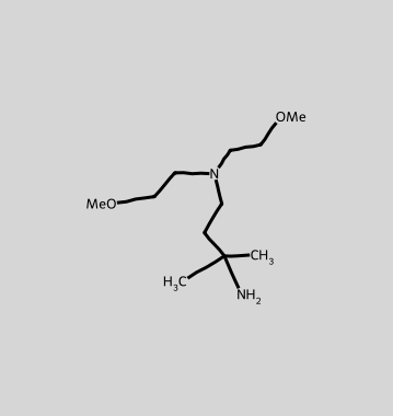 COCCN(CCOC)CCC(C)(C)N